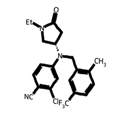 CCN1C[C@@H](N(Cc2cc(C(F)(F)F)ccc2C)c2ccc(C#N)c(Cl)c2)CC1=O